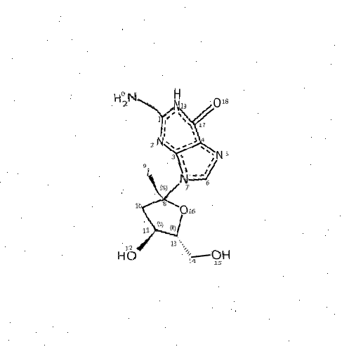 Nc1nc2c(ncn2[C@@]2(I)C[C@H](O)[C@@H](CO)O2)c(=O)[nH]1